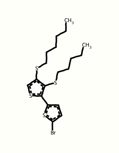 CCCCCCSc1csc(-c2ccc(Br)s2)c1SCCCCC